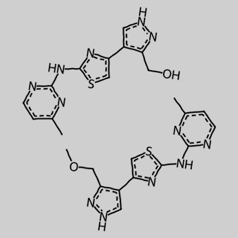 COCc1n[nH]cc1-c1csc(Nc2nccc(C)n2)n1.Cc1ccnc(Nc2nc(-c3c[nH]nc3CO)cs2)n1